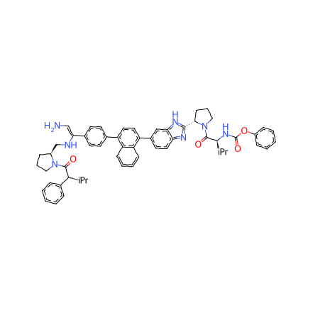 CC(C)C(C(=O)N1CCC[C@H]1CN/C(=C\N)c1ccc(-c2ccc(-c3ccc4nc([C@@H]5CCCN5C(=O)[C@@H](NC(=O)Oc5ccccc5)C(C)C)[nH]c4c3)c3c2C=C=C=C3)cc1)c1ccccc1